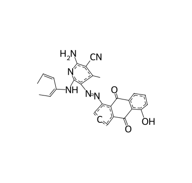 C/C=C\C(=C/C)Nc1nc(N)c(C#N)c(C)c1/N=N/c1cccc2c1C(=O)c1cccc(O)c1C2=O